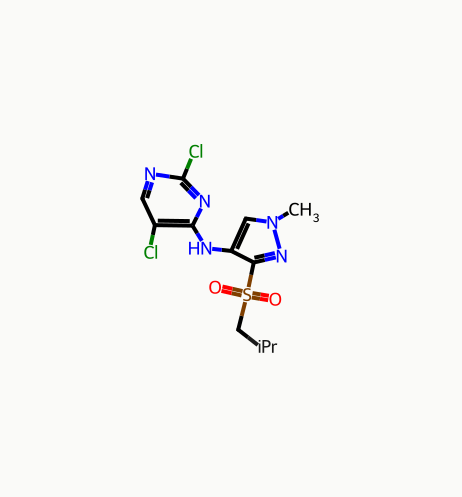 CC(C)CS(=O)(=O)c1nn(C)cc1Nc1nc(Cl)ncc1Cl